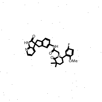 COc1ccc(F)cc1C1CCC(C)(C)C(=O)N1CC(=O)Nc1ccc2c(c1)CC1(C2)C(=O)Nc2ncccc21